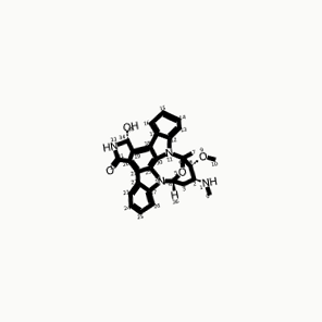 CN[C@@H]1C[C@H]2OC(C)([C@@H]1OC)n1c3ccccc3c3c4c(c5c6ccccc6n2c5c31)C(=O)N[C@@H]4O